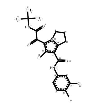 CC(C)(C)NC(=O)C(=O)c1c(Cl)c(C(=O)Nc2ccc(F)c(Cl)c2)c2n1CCC2